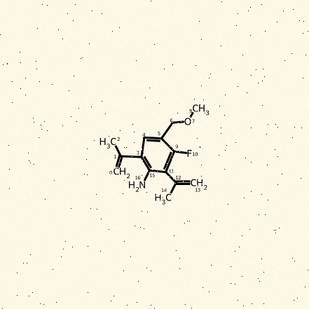 C=C(C)c1cc(COC)c(F)c(C(=C)C)c1N